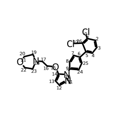 Clc1cccc(-c2ccc(-n3nccc3OCCN3CCOCC3)cc2)c1Cl